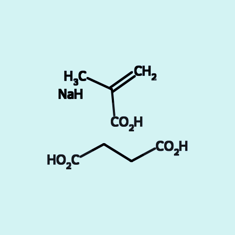 C=C(C)C(=O)O.O=C(O)CCC(=O)O.[NaH]